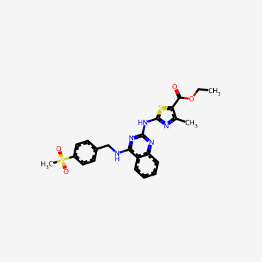 CCOC(=O)c1sc(Nc2nc(NCc3ccc(S(C)(=O)=O)cc3)c3ccccc3n2)nc1C